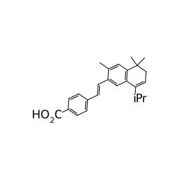 Cc1cc2c(cc1C=Cc1ccc(C(=O)O)cc1)C(C(C)C)=CCC2(C)C